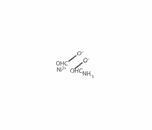 N.O=C[O-].O=C[O-].[Ni+2]